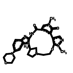 Cn1ncc2c1OCCN1CCC(C)(C1)n1c(nc3ccc(N4CCOCC4)cc31)NC(=O)c1cc-2c(=O)n(C)c1